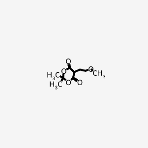 COCCC1C(=O)OC(C)(C)OC1=O